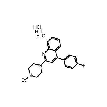 CCN1CCN(c2cc(-c3ccc(F)cc3)c3ccccc3n2)CC1.Cl.Cl.O